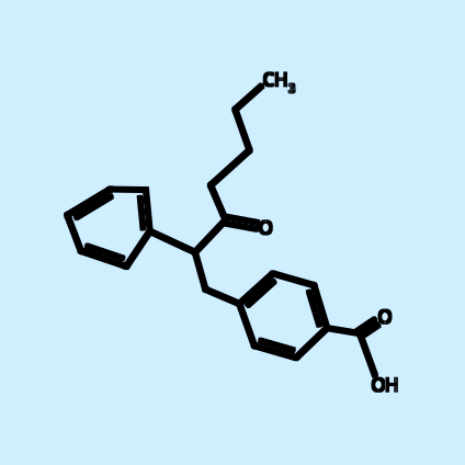 CCCCC(=O)C(Cc1ccc(C(=O)O)cc1)c1ccccc1